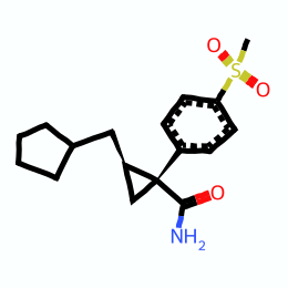 CS(=O)(=O)c1ccc([C@@]2(C(N)=O)C[C@H]2CC2CCCC2)cc1